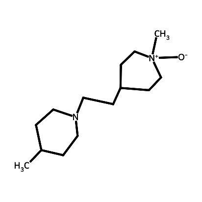 CC1CCN(CCC2CC[N+](C)([O-])CC2)CC1